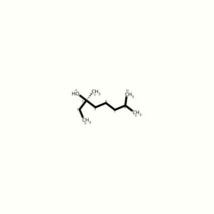 CC[C@@](C)(O)CCCC(C)C